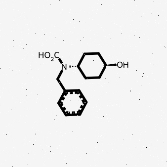 O=C(O)N(Cc1ccccc1)[C@H]1CC[C@H](O)CC1